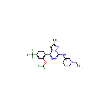 CCN1CCC[C@@H](Nc2nnc(-c3ccc(C(F)(F)F)cc3OC(F)F)c3cc(C)nn23)C1